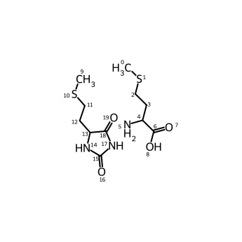 CSCCC(N)C(=O)O.CSCCC1NC(=O)NC1=O